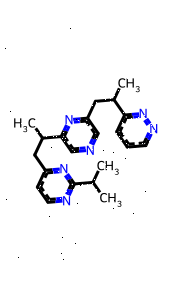 CC(C)c1nccc(CC(C)c2cncc(CC(C)c3cccnn3)n2)n1